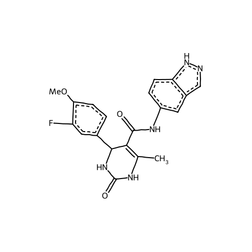 COc1ccc(C2NC(=O)NC(C)=C2C(=O)Nc2ccc3[nH]ncc3c2)cc1F